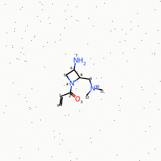 C=CC(=O)N1CC(N)C1CN(C)C